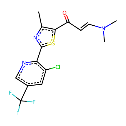 Cc1nc(-c2ncc(C(F)(F)F)cc2Cl)sc1C(=O)C=CN(C)C